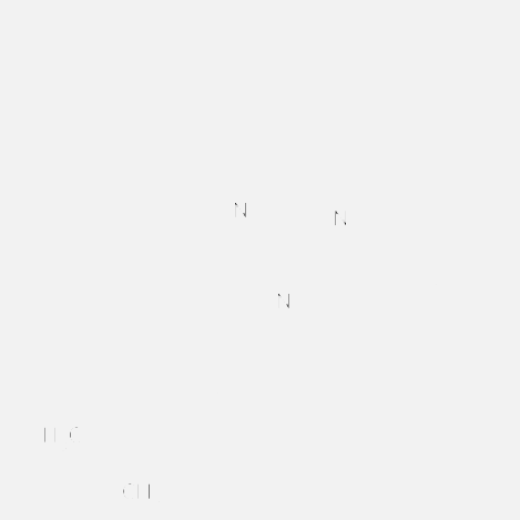 CC1(C)c2ccccc2-c2c1cc1ccccc1c2-c1nc(-c2ccccc2)nc(-c2ccccc2)n1